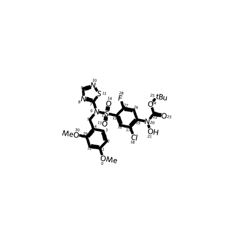 COc1ccc(CN(c2ncns2)S(=O)(=O)c2cc(Cl)c(N(O)C(=O)OC(C)(C)C)cc2F)c(OC)c1